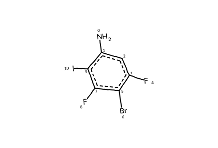 Nc1cc(F)c(Br)c(F)c1I